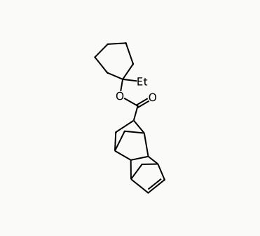 CCC1(OC(=O)C2CC3CC2C2C4C=CC(C4)C32)CCCCC1